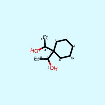 CCC(O)C1(C(O)CC)CCCCC1